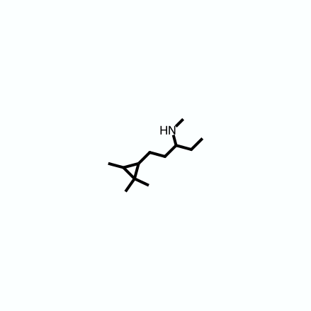 CCC(CCC1C(C)C1(C)C)NC